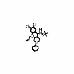 C=CCOc1cc(Cl)c(Cl)cc1C(NSC(C)(C)C)C1CCN(c2ccccn2)CC1